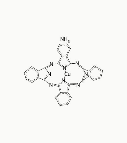 N.c1ccc2c(c1)C1=NC/2=N\c2c3ccccc3c3[n]2[Cu][n]2/c(c4ccccc4/c2=N/C2=N\C(=N/3)c3ccccc32)=N\1